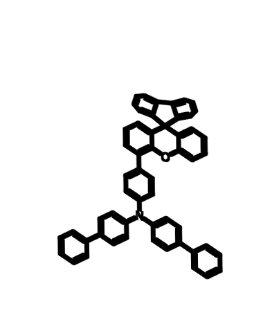 c1ccc(-c2ccc(N(c3ccc(-c4ccccc4)cc3)c3ccc(-c4cccc5c4Oc4ccccc4C54c5ccccc5-c5ccccc54)cc3)cc2)cc1